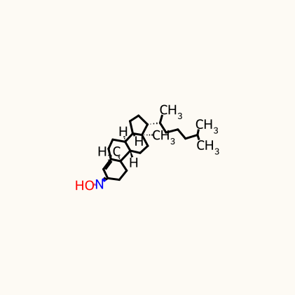 CC(C)CCCC(C)[C@H]1CC[C@H]2[C@@H]3CCC4=C/C(=N\O)CC[C@]4(C)[C@H]3CC[C@]12C